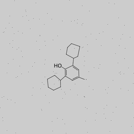 [CH2]c1cc(C2CCCCC2)c(O)c(C2CCCCC2)c1